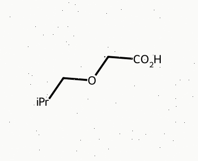 CC(C)CO[CH]C(=O)O